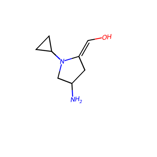 NC1C/C(=C\O)N(C2CC2)C1